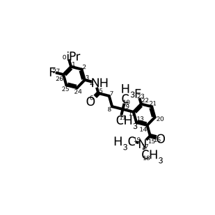 CC(C)c1cc(NC(=O)CCC(C)(C)c2cc(C(=O)N(C)C)ccc2F)ccc1F